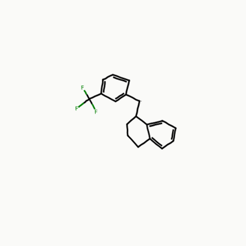 FC(F)(F)c1cccc([CH]C2CCCc3ccccc32)c1